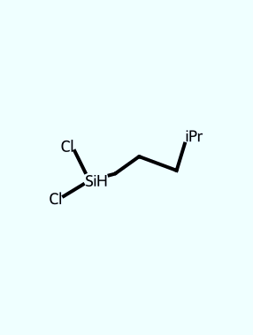 CC(C)CCC[SiH](Cl)Cl